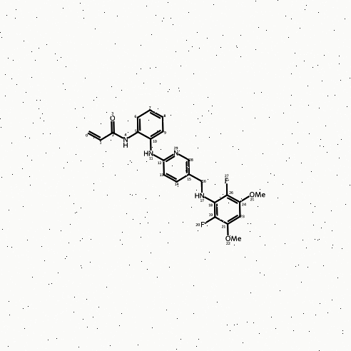 C=CC(=O)Nc1ccccc1Nc1ccc(CNc2c(F)c(OC)cc(OC)c2F)cn1